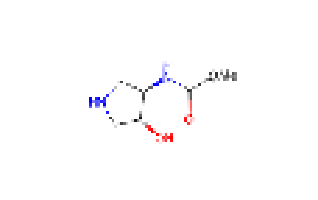 COC(=O)N[C@@H]1CNC[C@@H]1O